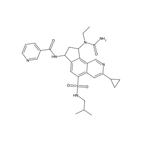 CCN(C(N)=O)C1CC(NC(=O)c2cccnc2)c2cc(S(=O)(=O)NCC(C)C)c3cc(C4CC4)ncc3c21